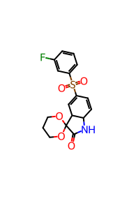 O=C1NC2C=CC(S(=O)(=O)c3cccc(F)c3)=CC2C12OCCCO2